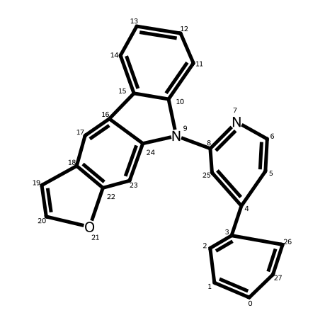 c1ccc(-c2ccnc(-n3c4ccccc4c4cc5ccoc5cc43)c2)cc1